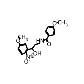 COc1ccc(C(=O)NCCC(O)c2cc(OC)ccc2[N+](=O)[O-])cc1